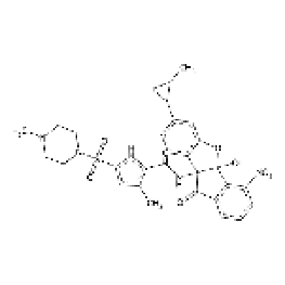 Cc1cc(S(=O)(=O)N2CCN(C)CC2)[nH]c1C(=O)NC12C(=O)c3cccc([N+](=O)[O-])c3C1(O)Oc1cc(C3CC3C)ccc12